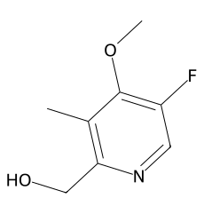 COc1c(F)cnc(CO)c1C